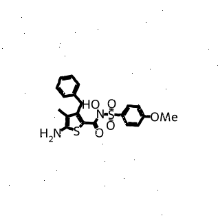 COc1ccc(S(=O)(=O)N(O)C(=O)c2sc(N)c(C)c2Cc2ccccc2)cc1